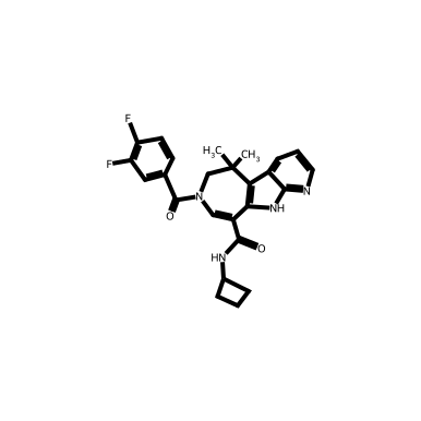 CC1(C)CN(C(=O)c2ccc(F)c(F)c2)C=C(C(=O)NC2CCC2)c2[nH]c3ncccc3c21